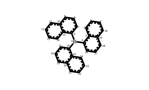 c1ccc2[c]([Bi]([c]3cccc4ccccc34)[c]3cccc4ccccc34)cccc2c1